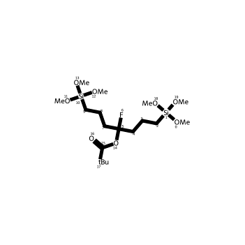 CO[Si](CCCC(F)(CCC[Si](OC)(OC)OC)OC(=O)C(C)(C)C)(OC)OC